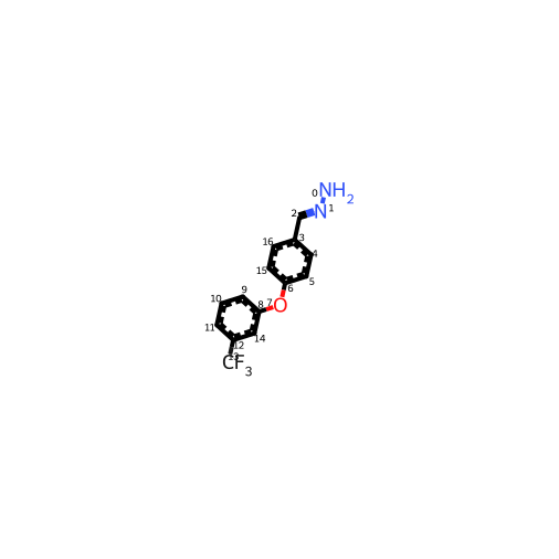 NN=Cc1ccc(Oc2cccc(C(F)(F)F)c2)cc1